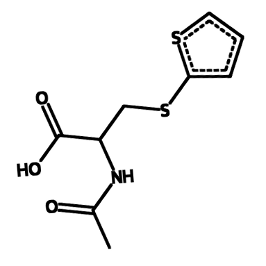 CC(=O)NC(CSc1cccs1)C(=O)O